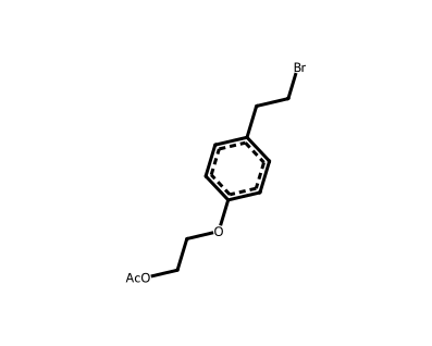 CC(=O)OCCOc1ccc(CCBr)cc1